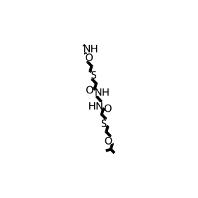 CNCOCCCSCCC(=O)NCCNC(=O)CCSCCCOCC(C)C